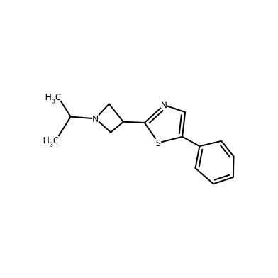 CC(C)N1CC(c2ncc(-c3ccccc3)s2)C1